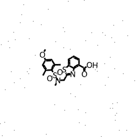 COc1cc(C)c(S(=O)(=O)N(C)Cc2nc3c(C(=O)O)cccc3s2)c(C)c1